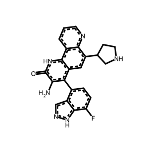 Nc1c(-c2ccc(F)c3[nH]ncc23)c2cc(C3CCNC3)c3ncccc3c2[nH]c1=O